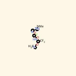 CNc1nccc(-c2cccnc2Oc2cccc(C(=O)Nc3cc(OCC4CCCN4C)cc(C(F)(F)F)c3)c2F)n1